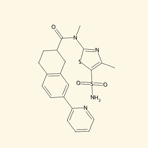 Cc1nc(N(C)C(=O)C2CCc3ccc(-c4ccccn4)cc3C2)sc1S(N)(=O)=O